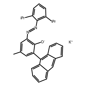 Cc1cc(N=Nc2c(C(C)C)cccc2C(C)C)c([O-])c(-c2c3ccccc3cc3ccccc23)c1.[K+]